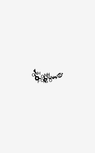 CN1CCN(CCCNC(=O)Nc2snc(OCc3cc(C(=O)NC4CC4)ccc3F)c2C(N)=O)CC1